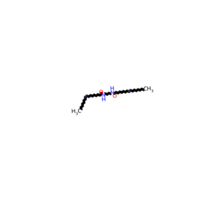 CCCCCCCC/C=C\CCCCCCCC(=O)NCCCCNC(=O)CCCCCCC/C=C/CCCCCCCC